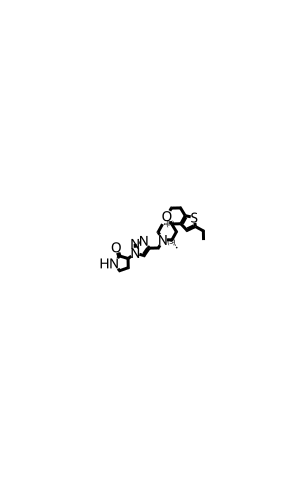 CCc1cc2c(s1)CCO[C@@]21CCN(Cc2cn(C3CCNC3=O)nn2)[C@@H](C)C1